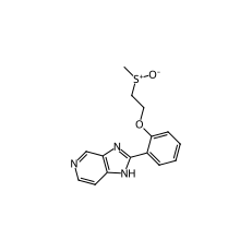 C[S+]([O-])CCOc1ccccc1-c1nc2cnccc2[nH]1